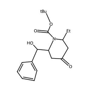 CCC1CC(=O)CC(C(O)c2ccccc2)N1C(=O)OC(C)(C)C